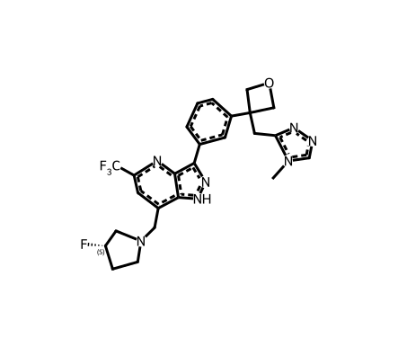 Cn1cnnc1CC1(c2cccc(-c3n[nH]c4c(CN5CC[C@H](F)C5)cc(C(F)(F)F)nc34)c2)COC1